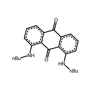 CCCCNc1cccc2c1C(=O)c1c(NCCCC)cccc1C2=O